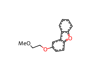 COCCOc1ccc2oc3ccccc3c2c1